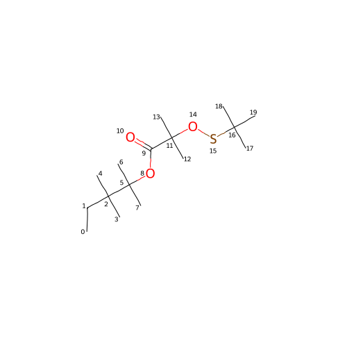 CCC(C)(C)C(C)(C)OC(=O)C(C)(C)OSC(C)(C)C